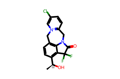 C[C@H](O)c1ccc2c3c1C(F)(F)C(=O)N3Cc1ccc(Cl)c[n+]1C2